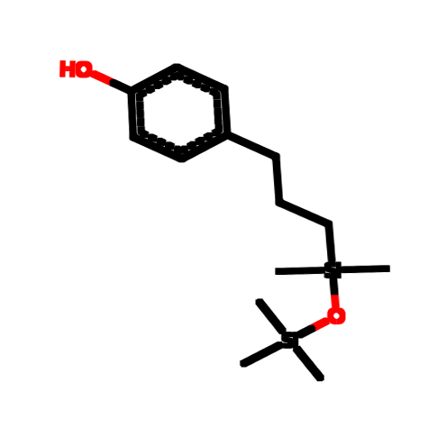 C[Si](C)(C)O[Si](C)(C)CCCc1ccc(O)cc1